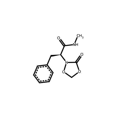 CNC(=O)[C@H](Cc1ccccc1)N1OCOC1=O